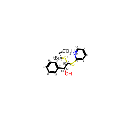 CC(=O)O.CC(C)(C)S[C@@H](Sc1ccccn1)[C@H](O)c1ccccc1